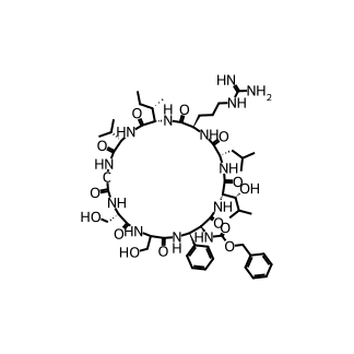 CC[C@H](C)[C@@H]1NC(=O)[C@@H](CCCNC(=N)N)NC(=O)[C@H](CC(C)C)NC(=O)[C@H]([C@H](O)C(C)C)NC(=O)[C@@H](NC(=O)OCc2ccccc2)[C@@H](c2ccccc2)NC(=O)C(CO)NC(=O)[C@H](CO)NC(=O)CNC(=O)[C@H](C(C)C)NC1=O